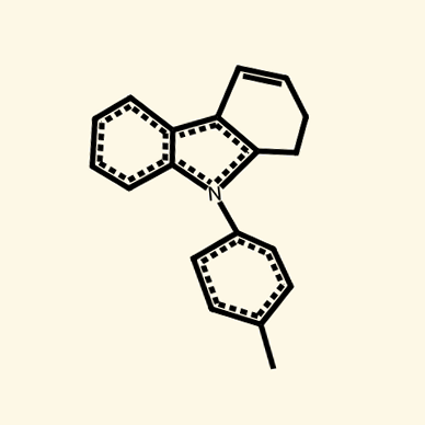 Cc1ccc(-n2c3c(c4ccccc42)C=CCC3)cc1